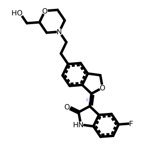 O=C1Nc2ccc(F)cc2/C1=C1\OCc2cc(CCN3CCOC(CO)C3)ccc21